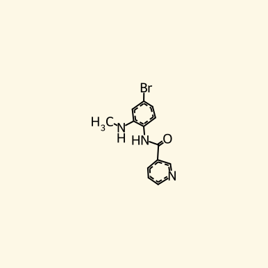 CNc1cc(Br)ccc1NC(=O)c1cccnc1